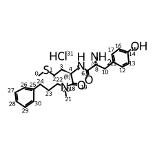 CSCC[C@@H](NC(=O)[C@@H](N)Cc1ccc(O)cc1)C(=O)N(C)CCCc1ccccc1.Cl